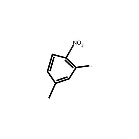 [CH]c1cc(C)ccc1[N+](=O)[O-]